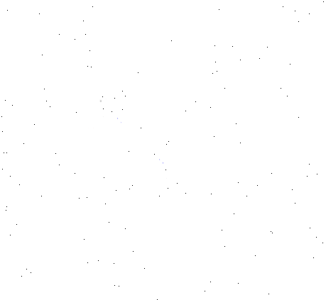 CCCC(=O)NCCCNC(=O)c1ccc(CC)cc1